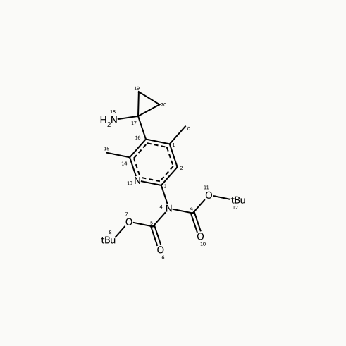 Cc1cc(N(C(=O)OC(C)(C)C)C(=O)OC(C)(C)C)nc(C)c1C1(N)CC1